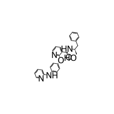 O=C(N[C@H](CO)Cc1ccccc1)c1cccnc1Oc1ccc(Nc2ccccn2)cc1